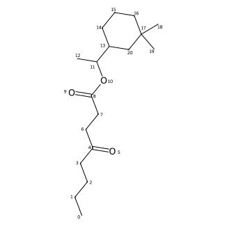 CCCCC(=O)CCC(=O)OC(C)C1CCCC(C)(C)C1